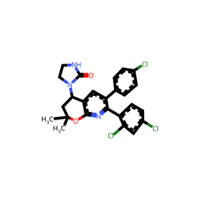 CC1(C)CC(N2CCNC2=O)c2cc(-c3ccc(Cl)cc3)c(-c3ccc(Cl)cc3Cl)nc2O1